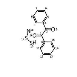 O=C(C(=O)c1ccccc1)c1ccccc1.S[S][Ni]